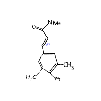 CNC(=O)/C=C/c1cc(C)c(C(C)C)c(C)c1